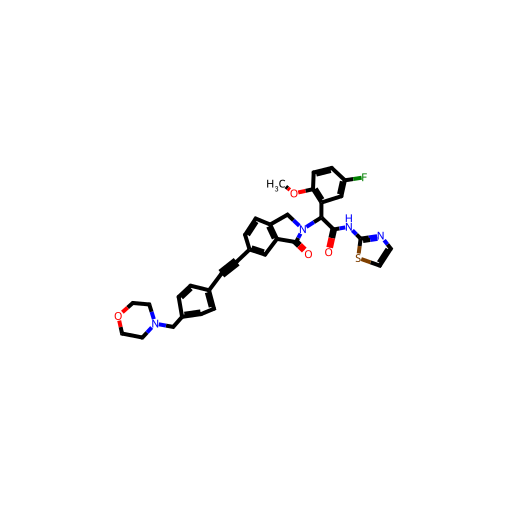 COc1ccc(F)cc1C(C(=O)Nc1nccs1)N1Cc2ccc(C#Cc3ccc(CN4CCOCC4)cc3)cc2C1=O